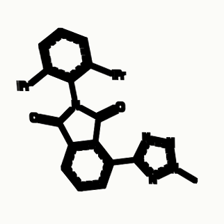 CC(C)c1cccc(C(C)C)c1N1C(=O)c2cccc(-c3nnn(C)n3)c2C1=O